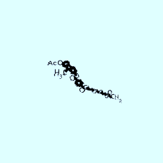 C=CC(=O)OCCOCCOCCOC(=O)c1ccc(C(=O)Oc2ccc3c(c2)C(C)c2cc(OC(C)=O)ccc2-3)cc1